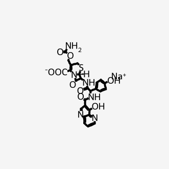 NC(=O)OCC1=C(C(=O)[O-])N2C(=O)C(NC(=O)C(NC(=O)c3cnc4cccnc4c3O)c3ccc(O)cc3)[C@H]2SC1.[Na+]